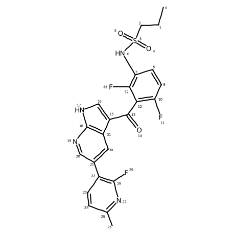 CCCS(=O)(=O)Nc1ccc(F)c(C(=O)c2c[nH]c3ncc(-c4ccc(C)nc4F)cc23)c1F